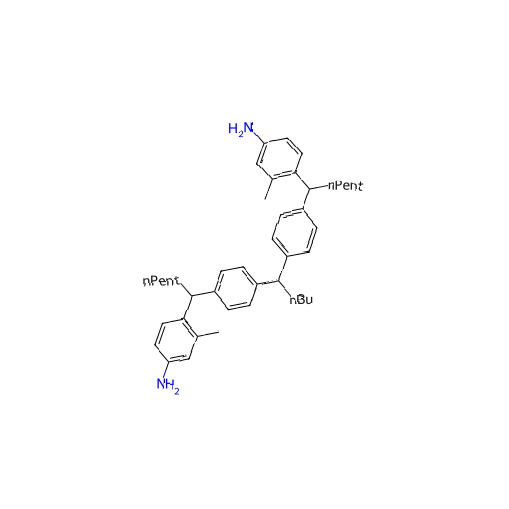 CCCCCC(c1ccc(C(CCCC)c2ccc(C(CCCCC)c3ccc(N)cc3C)cc2)cc1)c1ccc(N)cc1C